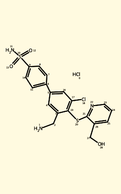 Cl.NCc1cc(-c2ccc(S(N)(=O)=O)cc2)cc(Cl)c1Sc1ncccc1CO